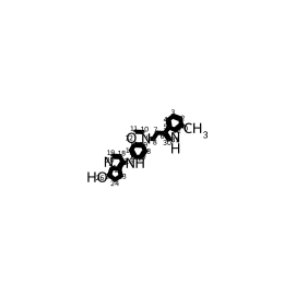 Cc1cccc2c(CCN3CCOc4cc(Nc5ccnc6c5CCC6O)ccc43)c[nH]c12